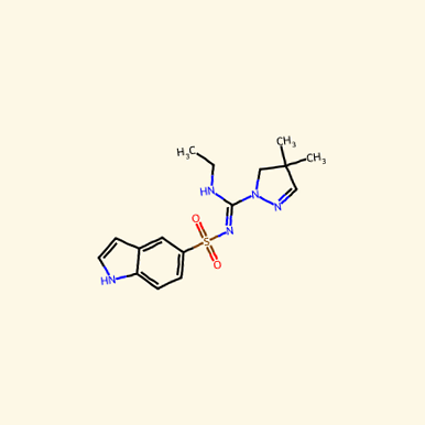 CCN/C(=N\S(=O)(=O)c1ccc2[nH]ccc2c1)N1CC(C)(C)C=N1